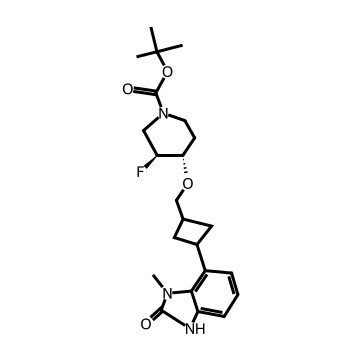 Cn1c(=O)[nH]c2cccc(C3CC(CO[C@H]4CCN(C(=O)OC(C)(C)C)C[C@@H]4F)C3)c21